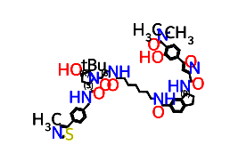 Cc1ncsc1-c1ccc(CNC(=O)[C@@H]2C[C@@H](O)CN2C(=O)[C@@H](NC(=O)CCCCCCNC(=O)c2ccc3c(c2)[C@H](NC(=O)c2cc(-c4ccc(C(=O)N(C)C)c(O)c4)on2)CC3)C(C)(C)C)cc1